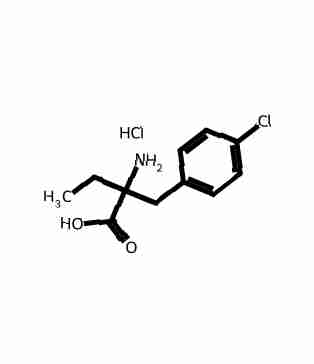 CCC(N)(Cc1ccc(Cl)cc1)C(=O)O.Cl